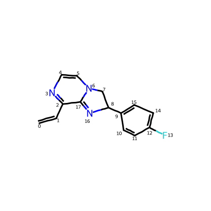 C=CC1=NC=CN2CC(c3ccc(F)cc3)N=C12